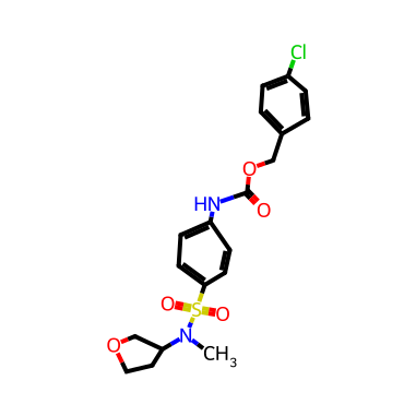 CN(C1CCOC1)S(=O)(=O)c1ccc(NC(=O)OCc2ccc(Cl)cc2)cc1